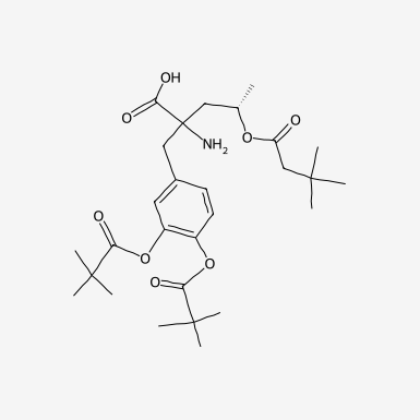 C[C@@H](CC(N)(Cc1ccc(OC(=O)C(C)(C)C)c(OC(=O)C(C)(C)C)c1)C(=O)O)OC(=O)CC(C)(C)C